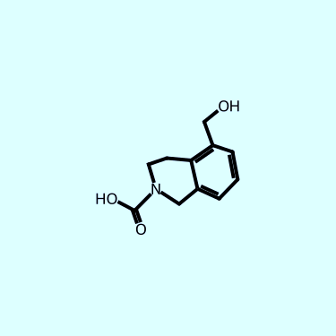 O=C(O)N1CCc2c(CO)cccc2C1